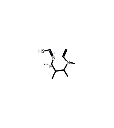 C=CN(C)C(C)C(C)[C@H](C)/N=C\S